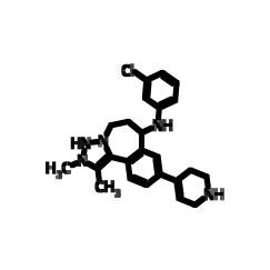 CC1=C2c3ccc(C4=CCNCC4)cc3C(Nc3cccc(Cl)c3)CCN2NN1C